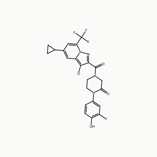 O=C(c1nn2c(C(F)(F)F)cc(C3CC3)cc2c1Cl)N1CCN(c2ccc(O)c(F)c2)C(=O)C1